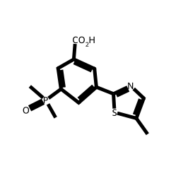 Cc1cnc(-c2cc(C(=O)O)cc(P(C)(C)=O)c2)s1